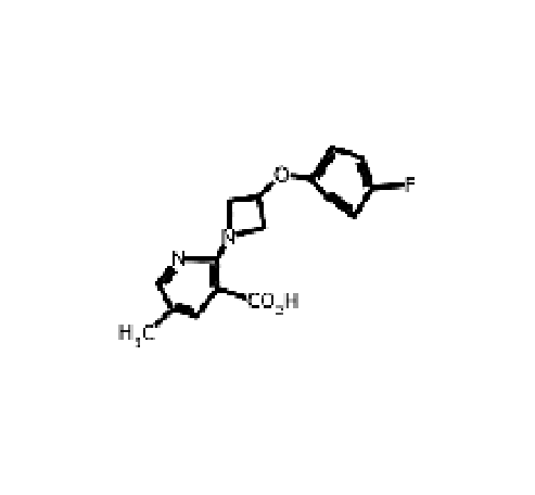 Cc1cnc(N2CC(Oc3ccc(F)cc3)C2)c(C(=O)O)c1